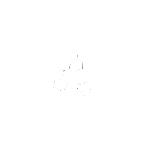 CC(=O)c1ccc2c(c1)c(=O)c1ccccc1[s+]2-c1ccc(C(C)(C)C)cc1